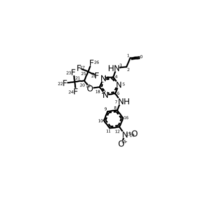 C=CCNc1nc(Nc2cccc([N+](=O)[O-])c2)nc(OC(C(F)(F)F)C(F)(F)F)n1